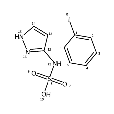 Ic1ccccc1.O=S(=O)(O)Nc1cc[nH]n1